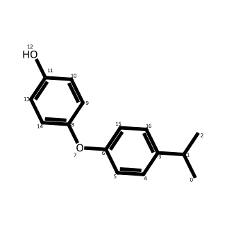 CC(C)c1ccc(Oc2ccc(O)cc2)cc1